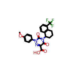 COc1ccc(-n2nc(C(=O)O)c(=O)n(C3CCCc4c3cccc4C(F)(F)F)c2=O)cc1